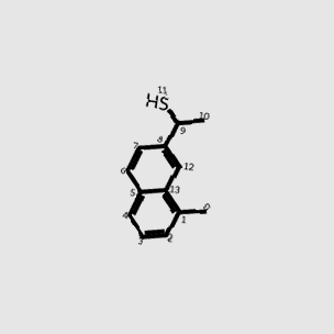 Cc1cccc2ccc(C(C)S)cc12